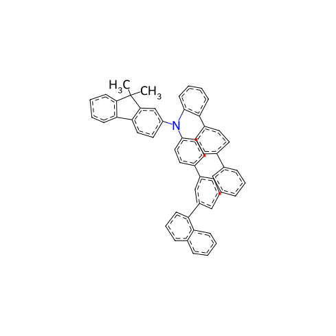 CC1(C)c2ccccc2-c2ccc(N(c3ccc(-c4cccc(-c5cccc6ccccc56)c4)cc3)c3ccccc3-c3ccc(-c4ccccc4)cc3)cc21